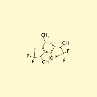 Cc1cc(C(O)C(F)(F)F)c(O)c(C(O)C(F)(F)F)c1